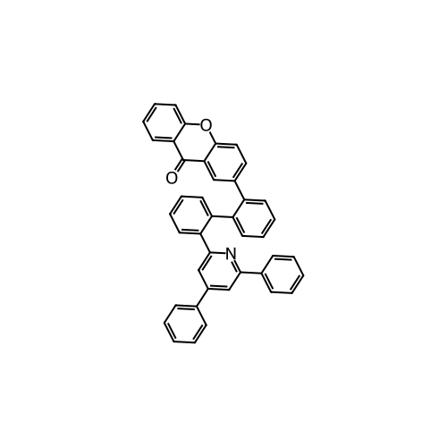 O=c1c2ccccc2oc2ccc(-c3ccccc3-c3ccccc3-c3cc(-c4ccccc4)cc(-c4ccccc4)n3)cc12